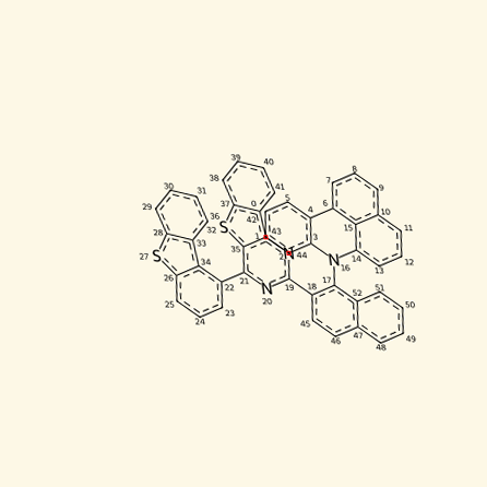 c1ccc2c(c1)-c1cccc3cccc(c13)N2c1c(-c2nc(-c3cccc4sc5ccccc5c34)c3sc4ccccc4c3n2)ccc2ccccc12